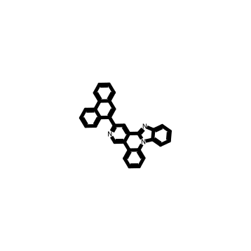 c1ccc2c(c1)cc(-c1cc3c(cn1)c1ccccc1n1c4ccccc4nc31)c1ccccc12